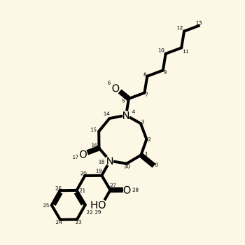 C=C1CCN(C(=O)CCCCCCC)CCC(=O)N(C(CC2=CCCC=C2)C(=O)O)C1